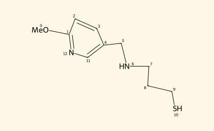 COc1ccc(CNCCCS)cn1